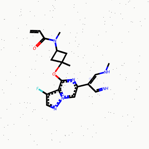 C=CC(=O)N(C)C1CC(C)(Oc2nc(/C(C=N)=C/NC)cn3ncc(F)c23)C1